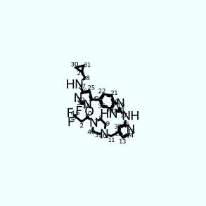 O=C(CC(F)(F)F)N1CCN(Cc2ccnc(Nc3nc4ccc(-c5cc(NCC6CC6)ncn5)cc4[nH]3)c2)CC1